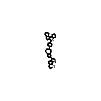 C1=C\c2cc(-c3ccnc4c3ccc3cccnc34)ccc2CC\C=C/1c1ccc(-c2nc3ccccc3c3c2ccc2ccccc23)cc1